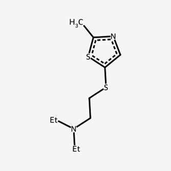 CCN(CC)CCSc1cnc(C)s1